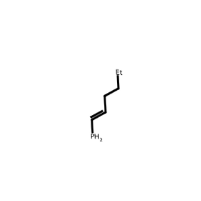 CCCCC=CP